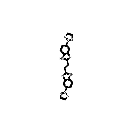 C1=CSS(c2ccc3[nH]c(CCc4nc5cc(S6=NC=CS6)ccc5[nH]4)nc3c2)=N1